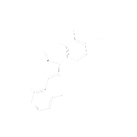 O=c1oc(-c2c(F)cccc2F)nn1-c1ccc(OC(F)(F)F)c(Cl)c1F